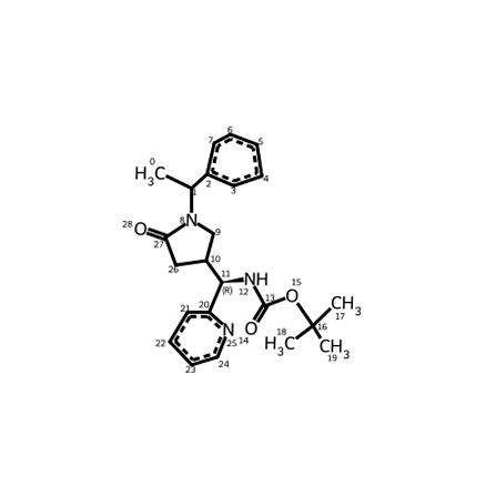 CC(c1ccccc1)N1CC([C@@H](NC(=O)OC(C)(C)C)c2ccccn2)CC1=O